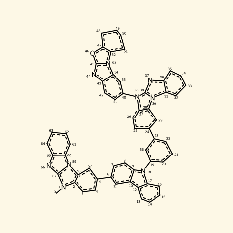 Cn1c2ccc(-c3ccc4c(c3)c3ccccc3n4-c3cccc(-c4ccc5c(c4)n4c6ccccc6nc4n5-c4ccc5nc6oc7ccccc7n6c5c4)c3)cc2n2c3ccccc3nc12